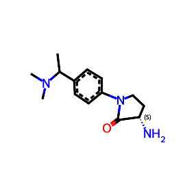 CC(c1ccc(N2CC[C@H](N)C2=O)cc1)N(C)C